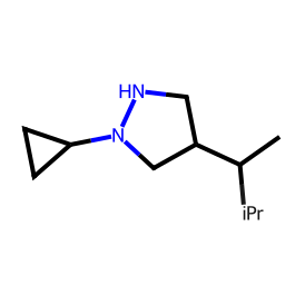 CC(C)C(C)C1CNN(C2CC2)C1